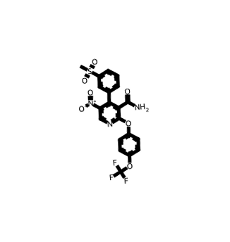 CS(=O)(=O)c1cccc(-c2c([N+](=O)[O-])cnc(Oc3ccc(OC(F)(F)F)cc3)c2C(N)=O)c1